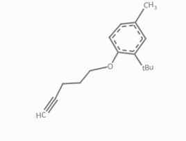 C#CCCCOc1ccc(C)cc1C(C)(C)C